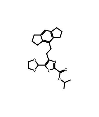 CC(C)OC(=O)c1nc(CCc2c3c(cc4c2CCC4)CCC3)c(C2OCCO2)s1